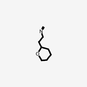 C=NCCC1CCCCO1